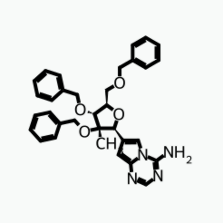 C[C@@]1(OCc2ccccc2)[C@H](OCc2ccccc2)[C@@H](COCc2ccccc2)O[C@H]1c1cc2ncnc(N)n2c1